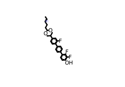 C/C=C/CCC1OCC(c2ccc(-c3ccc(-c4ccc(O)c(F)c4F)cc3)c(F)c2)CO1